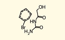 Brc1ccccc1.NC(=O)NC(=O)CO